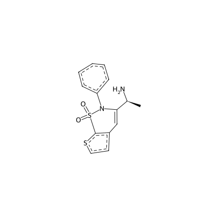 C[C@H](N)C1=Cc2ccsc2S(=O)(=O)N1c1ccccc1